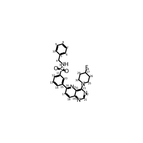 O=S(=O)(NCc1ccccc1)c1cccc(-c2ccc3ncnc(N4CCC(F)CC4)c3n2)c1